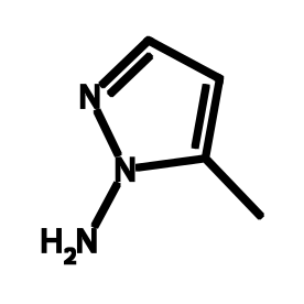 Cc1ccnn1N